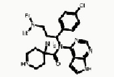 CCN(CC)CC[C@@H](c1ccc(Cl)cc1)N(C(=O)C1(N)CCNCC1)c1ncnc2[nH]ccc12